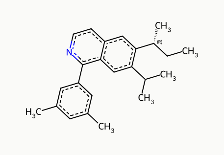 CC[C@@H](C)c1cc2ccnc(-c3cc(C)cc(C)c3)c2cc1C(C)C